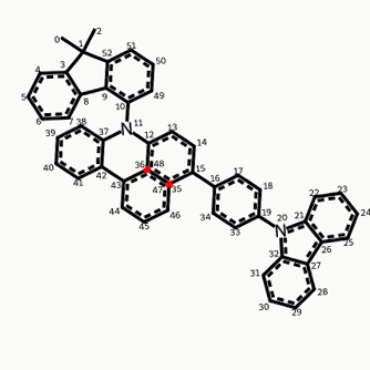 CC1(C)c2ccccc2-c2c(N(c3ccc(-c4ccc(-n5c6ccccc6c6ccccc65)cc4)cc3)c3ccccc3-c3ccccc3)cccc21